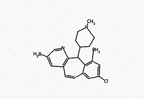 Bc1cnc2c(c1)C=Cc1cc(Cl)cc(B)c1C2C1CCN(C)CC1